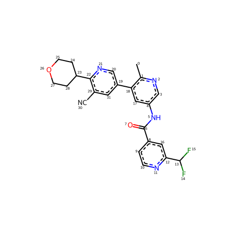 Cc1ncc(NC(=O)c2ccnc(C(F)F)c2)cc1-c1cnc(C2CCOCC2)c(C#N)c1